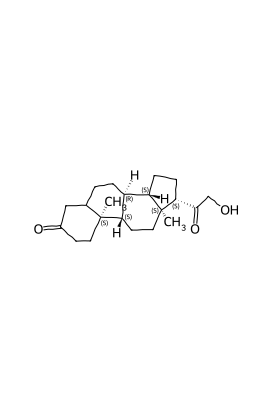 C[C@]12CC[C@H]3[C@@H](CCC4CC(=O)CC[C@@]43C)[C@@H]1CC[C@@H]2C(=O)CO